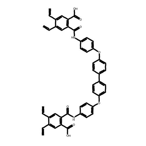 C=Cc1cc(C(=O)O)c(C(=O)Nc2ccc(Oc3ccc(-c4ccc(Oc5ccc(NC(=O)c6cc(C=C)c(C=C)cc6C(=O)O)cc5)cc4)cc3)cc2)cc1C=C